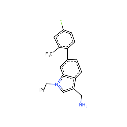 CC(C)Cn1cc(CN)c2ccc(-c3ccc(F)cc3C(F)(F)F)cc21